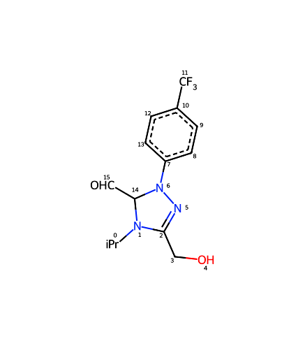 CC(C)N1C(CO)=NN(c2ccc(C(F)(F)F)cc2)C1C=O